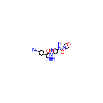 N#Cc1ccc(/C(C=N)=C(\O)Nc2ccc(NC(=O)N3CCOCC3)cn2)cc1